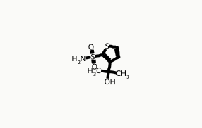 CC(C)(O)c1ccsc1S(N)(=O)=O